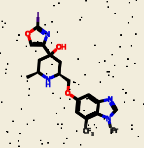 CC(C)n1cnc2cc(OC[C@@H]3CC(O)(c4coc(I)n4)C[C@H](C)N3)cc(C(F)(F)F)c21